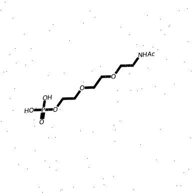 CC(=O)NCCOCCOCCOP(=O)(O)O